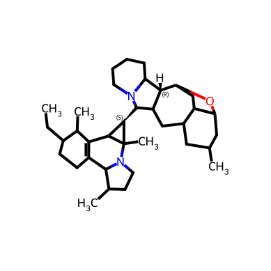 CCC1CCC2=C(C1C)C1[C@@H](C3C4CC5CC(C)CC6OC(CC56)[C@H]4C4CCCCN43)C1(C)N1CCC(C)C21